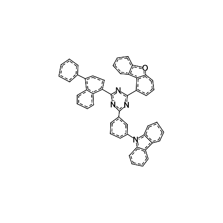 c1ccc(-c2ccc(-c3nc(-c4cccc(-n5c6ccccc6c6ccccc65)c4)nc(-c4cccc5oc6ccccc6c45)n3)c3ccccc23)cc1